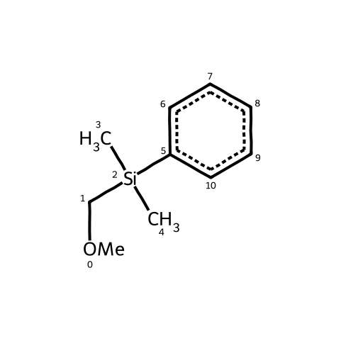 [CH2]OC[Si](C)(C)c1ccccc1